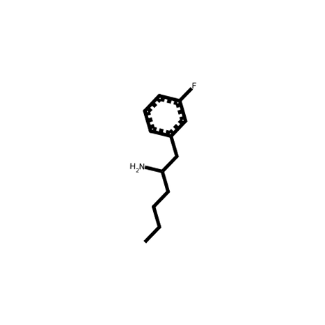 CCCCC(N)Cc1cccc(F)c1